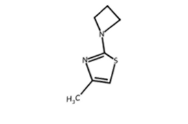 Cc1csc(N2CCC2)n1